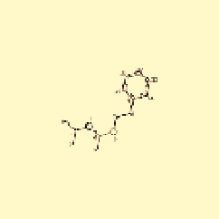 CC(C)OC(C)OCCc1ccccc1